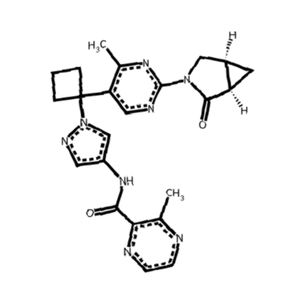 Cc1nc(N2C[C@H]3C[C@H]3C2=O)ncc1C1(n2cc(NC(=O)c3nccnc3C)cn2)CCC1